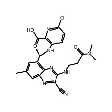 Cc1cc([C@@H](C)Nc2ccc(Cl)nc2C(=O)O)c2nc(NCCC(=O)N(C)C)c(C#N)nc2c1